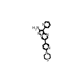 Nc1nn2cc(-c3ccc(N4CCSCC4)nc3)cnc2c1-c1ccccn1